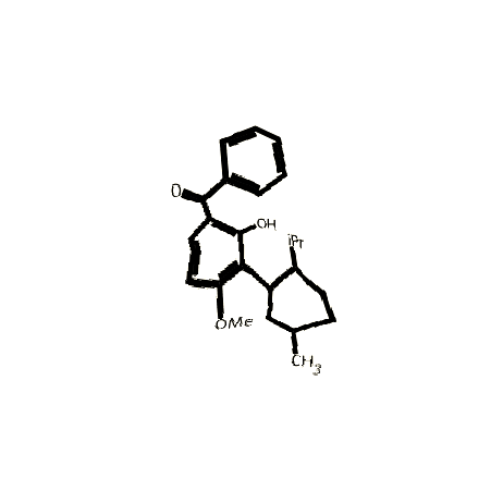 COc1ccc(C(=O)c2ccccc2)c(O)c1C1CC(C)CCC1C(C)C